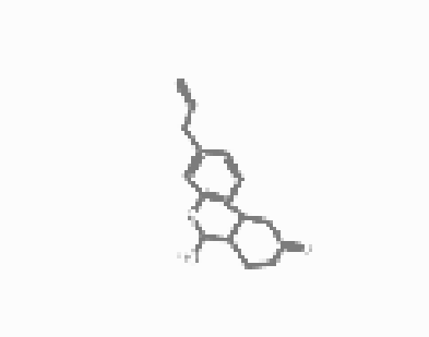 C=CCc1ccc2c(c1)OC(O)C1CCC(=O)CC21